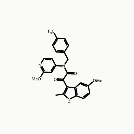 COc1ccc2[nH]c(C)c(C(=O)C(=O)N(Cc3ccc(C(F)(F)F)cc3)c3ccnc(OC)c3)c2c1